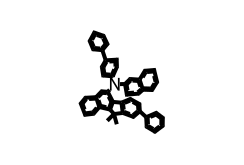 CC1(C)c2cc(-c3ccccc3)ccc2-c2c(N(c3ccc(-c4ccccc4)cc3)c3ccc4ccccc4c3)cc3ccccc3c21